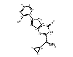 NC(c1nc2cc(-c3ccncc3F)sc2c(=O)[nH]1)C1CC1